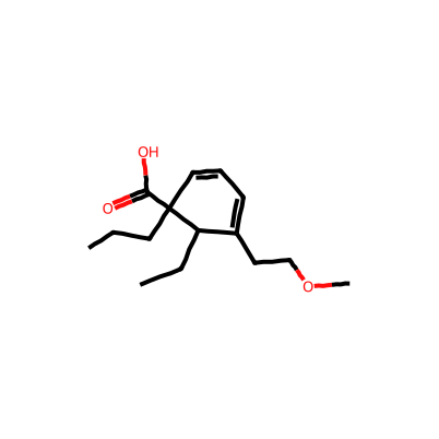 CCCC1(C(=O)O)C=CC=C(CCOC)C1CC